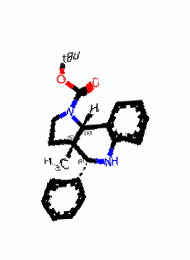 CC(C)(C)OC(=O)N1CC[C@@]2(C)[C@@H](c3ccccc3)Nc3ccccc3[C@@H]12